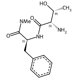 CNC(=O)[C@H](Cc1ccccc1)NC(=O)[C@@H](N)[C@@H](C)O